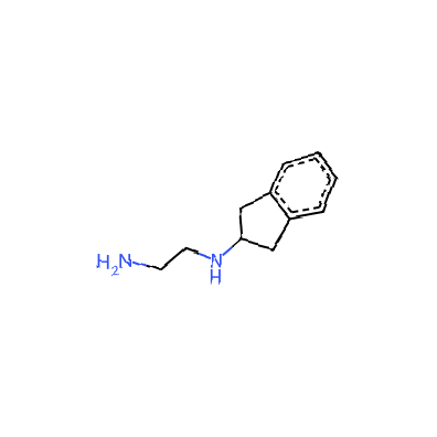 NCCNC1Cc2ccccc2C1